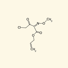 C=CCOC(=O)/C(=N\OC)C(=O)CCl